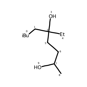 CCC(C)CC(O)(CC)CCC(C)O